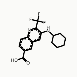 O=C(O)c1ccc2nc(C(F)(F)F)c(NC3CCCCC3)cc2c1